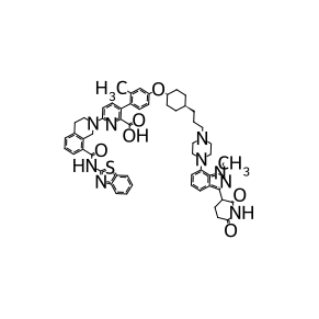 Cc1cc(O[C@H]2CC[C@H](CCCN3CCN(c4cccc5c(C6CCC(=O)NC6=O)nn(C)c45)CC3)CC2)ccc1-c1ccc(N2CCc3cccc(C(=O)Nc4nc5ccccc5s4)c3C2)nc1C(=O)O